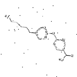 CCCCCCc1ccc(Oc2ccc(C(=O)O)cn2)cc1